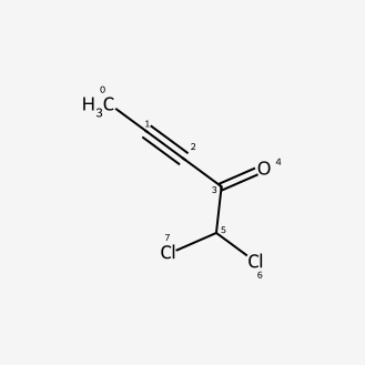 CC#CC(=O)C(Cl)Cl